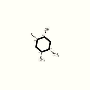 C[C@@H]1C[C@H](F)[C@H](O)C[C@@H]1C